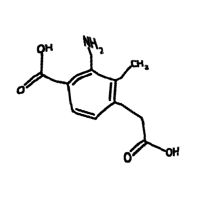 Cc1c(CC(=O)O)ccc(C(=O)O)c1N